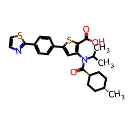 CC(C)N(c1cc(-c2ccc(-c3nccs3)cc2)sc1C(=O)O)C(=O)[C@H]1CC[C@H](C)CC1